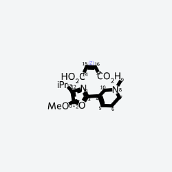 COc1oc(C2=CCCN(C)C2)nc1C(C)C.O=C(O)/C=C\C(=O)O